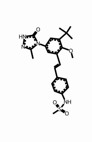 COc1c(/C=C/c2ccc(NS(C)(=O)=O)cc2)cc(-n2c(C)n[nH]c2=O)cc1C(C)(C)C